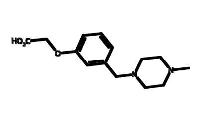 CN1CCN(Cc2cccc(OCC(=O)O)c2)CC1